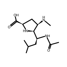 CN[C@@H]1C[C@H](C(=O)O)N[C@@H]1[C@H](CC(C)C)NC(C)=O